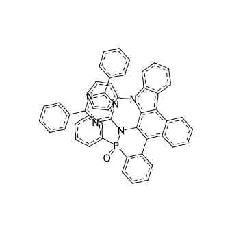 O=P1(c2ccccc2)c2ccccc2-c2c(c3c(c4ccccc24)c2ccccc2n3-c2ccccc2)N1c1nc(-c2ccccc2)nc(-c2ccccc2)n1